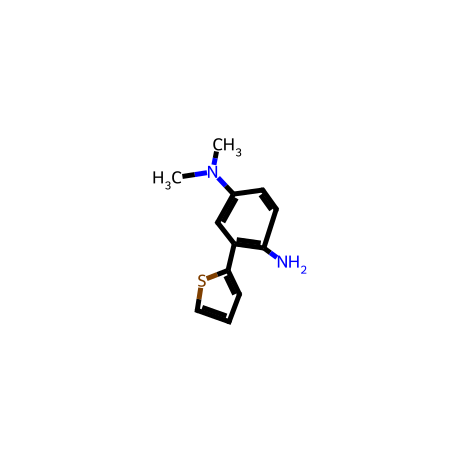 CN(C)c1ccc(N)c(-c2cccs2)c1